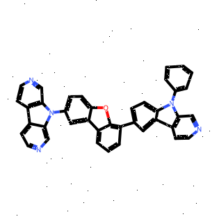 c1ccc(-n2c3ccc(-c4cccc5c4oc4ccc(-n6c7cnccc7c7ccncc76)cc45)cc3c3ccncc32)cc1